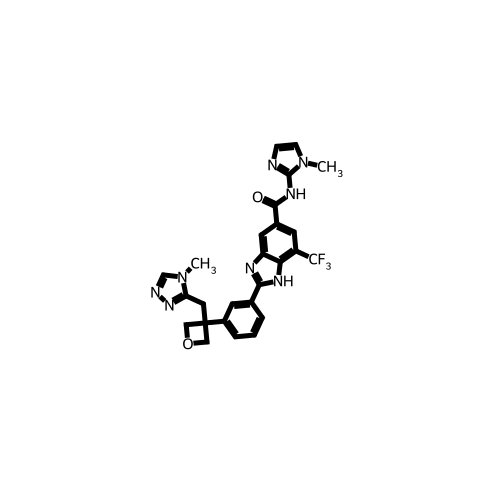 Cn1cnnc1CC1(c2cccc(-c3nc4cc(C(=O)Nc5nccn5C)cc(C(F)(F)F)c4[nH]3)c2)COC1